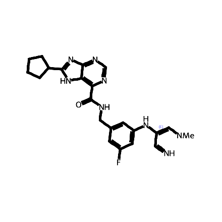 CN/C=C(\C=N)Nc1cc(F)cc(CNC(=O)c2ncnc3nc(C4CCCC4)[nH]c23)c1